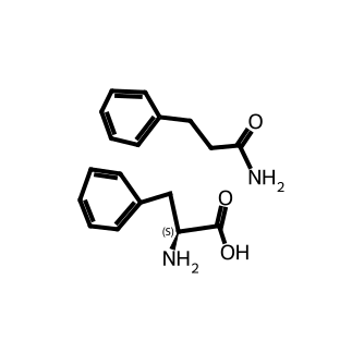 NC(=O)CCc1ccccc1.N[C@@H](Cc1ccccc1)C(=O)O